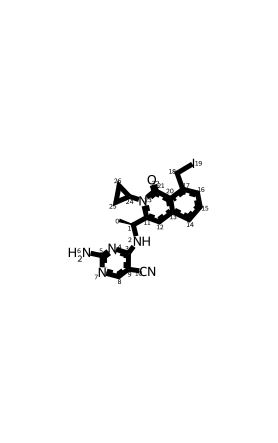 C[C@H](Nc1nc(N)ncc1C#N)c1cc2cccc(CI)c2c(=O)n1C1CC1